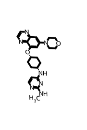 CNc1nccc(N[C@H]2CC[C@@H](Oc3cc(N4CCOCC4)cc4nccnc34)CC2)n1